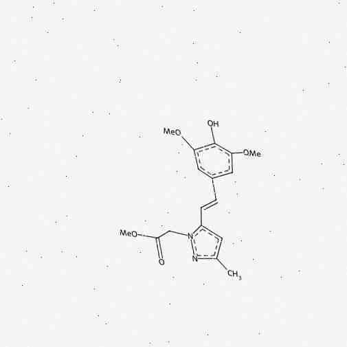 COC(=O)Cn1nc(C)cc1C=Cc1cc(OC)c(O)c(OC)c1